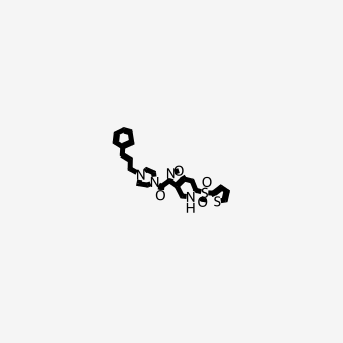 O=C(c1noc2c1CNC(S(=O)(=O)c1cccs1)C2)N1CCN(CC=Cc2ccccc2)CC1